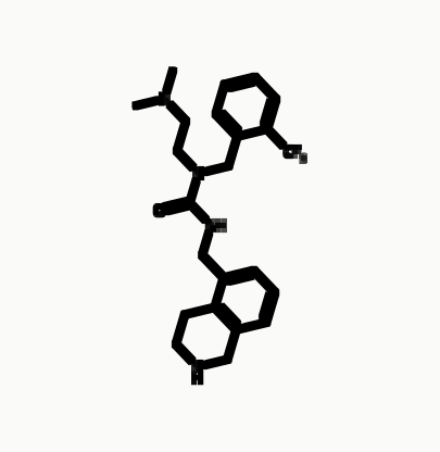 CN(C)CCN(Cc1ccccc1C(F)(F)F)C(=O)NCc1cccc2c1CCNC2